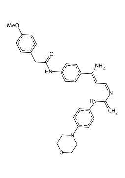 C=C(/N=C\C=C(/N)c1ccc(NC(=O)Cc2ccc(OC)cc2)cc1)Nc1ccc(N2CCOCC2)cc1